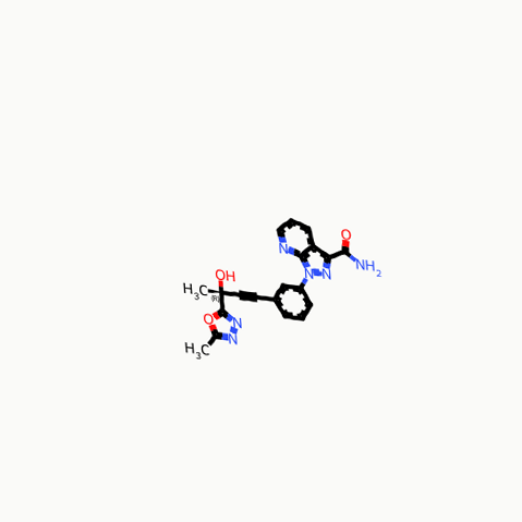 Cc1nnc([C@](C)(O)C#Cc2cccc(-n3nc(C(N)=O)c4cccnc43)c2)o1